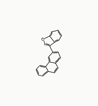 c1ccc2c(c1)ccc1ccc(-c3noc4ccccc34)cc12